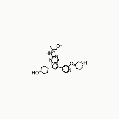 COC[C@H](C)Nc1ncc2c(-c3ccnc(O[C@@H]4CCCNC4)c3)cc([C@H]3CC[C@H](O)CC3)n2n1